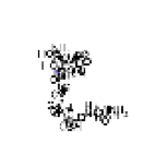 COc1cccc2c1C(=O)c1c(O)c3c(c(O)c1C2=O)C[C@@](O)(/C(CO)=N\NC(=O)CCN1C(=O)CC(SC[C@H](NC(=O)CC[C@H](NC(=O)c2ccc(NCc4cnc5nc(N)[nH]c(=O)c5n4)cc2)C(=O)O)C(=O)O)C1=O)C[C@@H]3O[C@H]1C[C@@H](N)C(O)C(C)O1